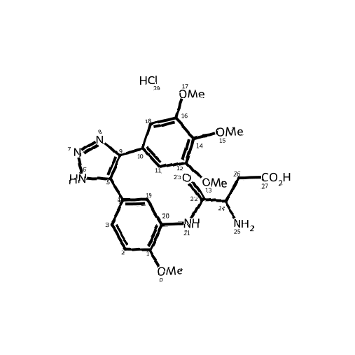 COc1ccc(-c2[nH]nnc2-c2cc(OC)c(OC)c(OC)c2)cc1NC(=O)C(N)CC(=O)O.Cl